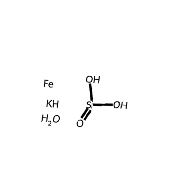 O.O=[Si](O)O.[Fe].[KH]